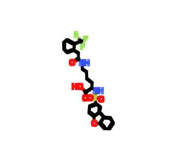 O=C(Cc1ccccc1C(F)(F)F)NCCCCC(NS(=O)(=O)c1ccc2oc3ccccc3c2c1)C(=O)O